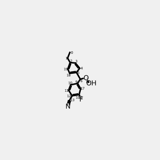 CCc1ccc(C(OO)c2ccc(C#N)c(F)c2)cc1